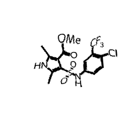 COC(=O)c1c(C)[nH]c(C)c1S(=O)(=O)Nc1ccc(Cl)c(C(F)(F)F)c1